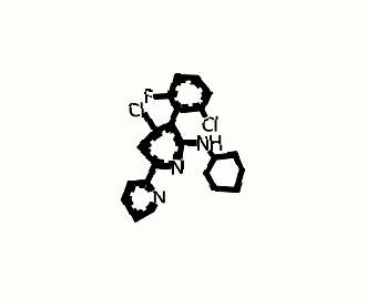 Fc1cccc(Cl)c1-c1c(Cl)cc(-c2ccccn2)nc1NC1CCCCC1